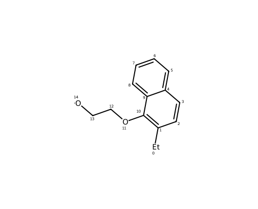 CCc1ccc2ccccc2c1OCC[O]